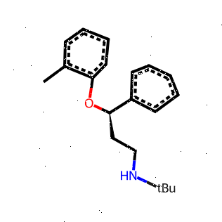 Cc1ccccc1O[C@H](CCNC(C)(C)C)c1ccccc1